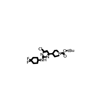 CC(C)(C)OC(=O)N1CCC(c2cc(Cl)nc(NC3CCC(F)(F)CC3)n2)CC1